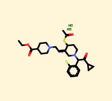 CCOC(=O)C1CCN(C/C=C2/CN(C(C(=O)C3CC3)c3ccccc3F)CCC2SC(C)=O)CC1.Cl.Cl